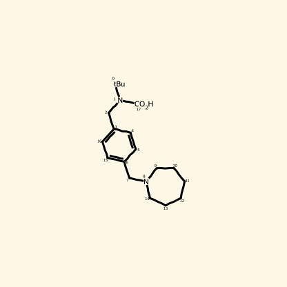 CC(C)(C)N(Cc1ccc(CN2CCCCCC2)cc1)C(=O)O